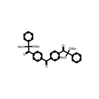 COC(OC)(C(=O)c1ccc(C(=O)c2ccc(C(=O)C(OC)(OC)c3ccccc3)cc2)cc1)c1ccccc1